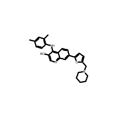 Cc1ccc(Nc2c(C#N)cnc3cc(-c4ccc(CN5CCCCC5)o4)ccc23)c(C)c1